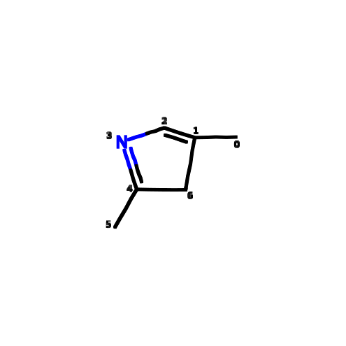 CC1=CN=C(C)C1